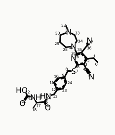 CCc1c(C#N)c(SCc2ccc(CNC(=O)[C@@H](C)NC(=O)O)cc2)nc(N2CCCN(C)CC2)c1C#N